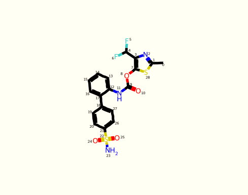 Cc1nc(C(F)F)c(OC(=O)Nc2ccccc2-c2ccc(S(N)(=O)=O)cc2)s1